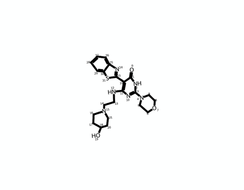 O=c1[nH]c(N2CCOCC2)nc(NCCN2CCC(O)CC2)c1-c1nc2ccccc2s1